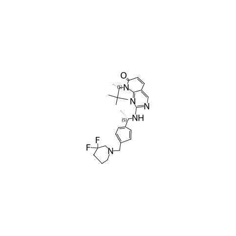 C[C@H](Nc1ncc2ccc(=O)n([C@@H](C)C(C)(C)C)c2n1)c1ccc(CN2CCCC(F)(F)C2)cc1